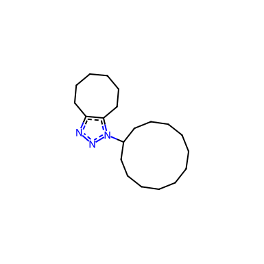 C1CCCCCC(n2nnc3c2CCCCCC3)CCCCC1